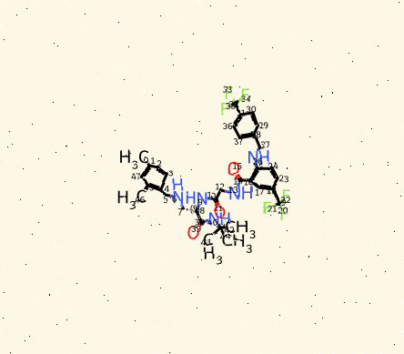 Cc1ccc(CNC[C@H](NC(=O)CNC(=O)c2cc(C(F)(F)F)ccc2NCc2ccc(C(F)(F)F)cc2)C(=O)NC(C)(C)C)c(C)c1